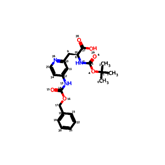 CC(C)(C)OC(=O)N[C@@H](Cc1cc(NC(=O)OCc2ccccc2)ccn1)C(=O)O